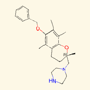 Cc1c(C)c2c(c(C)c1OCc1ccccc1)CC[C@@](C)(CN1CCNCC1)O2